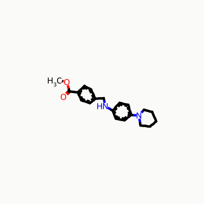 COC(=O)c1ccc(CNc2ccc(N3CCCCC3)cc2)cc1